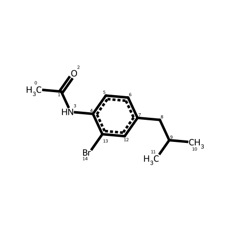 CC(=O)Nc1ccc(CC(C)C)cc1Br